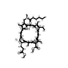 CCCCCC(=O)N(C)Cc1c(C)c2cc3nc(c(C)c4[nH]c(cc5nc(cc1[nH]2)C(C)=C5CC)c(C)c4C(=O)OC)[C@@H](CCC(=O)OC)[C@@H]3C